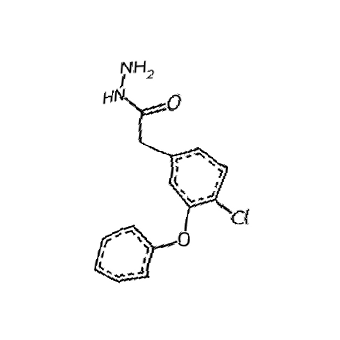 NNC(=O)Cc1ccc(Cl)c(Oc2ccccc2)c1